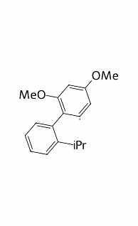 COc1c[c]c(-c2ccccc2C(C)C)c(OC)c1